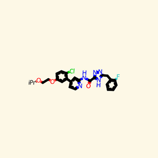 CC(C)OCCOc1ccc(Cl)c(-c2ccnc(NC(=O)c3nnc(Cc4ccccc4F)[nH]3)c2)c1